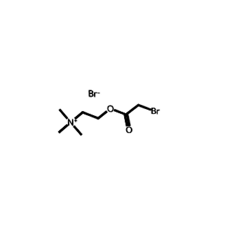 C[N+](C)(C)CCOC(=O)CBr.[Br-]